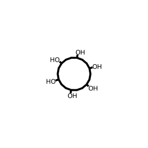 OC1CCC(O)CCC(O)CCC(O)CCC(O)CCC(O)CC1